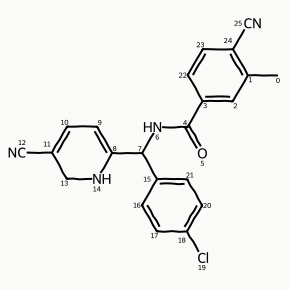 Cc1cc(C(=O)NC(C2=CC=C(C#N)CN2)c2ccc(Cl)cc2)ccc1C#N